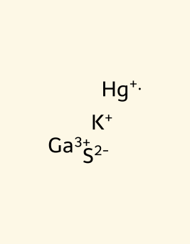 [Ga+3].[Hg+].[K+].[S-2]